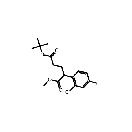 COC(=O)C(CCC(=O)OC(C)(C)C)c1ccc(Cl)cc1Cl